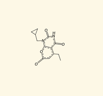 CCc1cc(=O)oc2c1c(=O)[nH]c(=O)n2CC1CC1